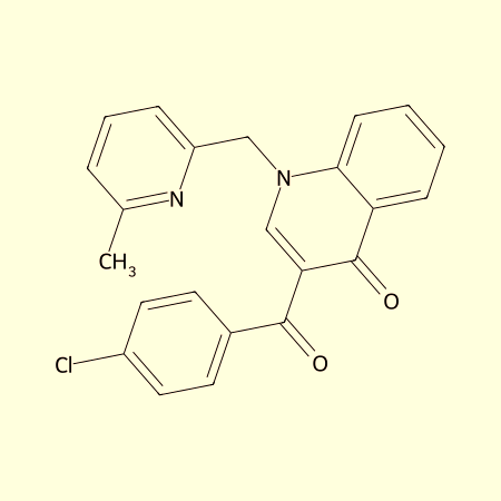 Cc1cccc(Cn2cc(C(=O)c3ccc(Cl)cc3)c(=O)c3ccccc32)n1